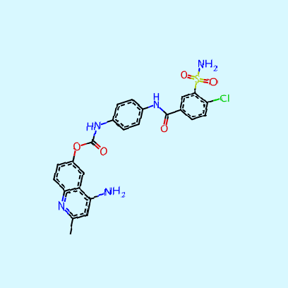 Cc1cc(N)c2cc(OC(=O)Nc3ccc(NC(=O)c4ccc(Cl)c(S(N)(=O)=O)c4)cc3)ccc2n1